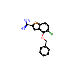 N=C(N)c1cc2c(OCc3ccccc3)c(Br)ccc2s1